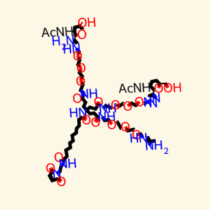 CC(=O)N[C@@H]1C[C@@H](O)CO[C@H]1/C(N)=C/NCOCCOCCOCCNC(=O)CCC(CCC(=O)NCCOCCOCCOCN/C=C(/C)N)(CCC(=O)NCCOCCOCCOCn1cc([C@@H]2O[C@H](CO)CC[C@H]2NC(C)=O)nn1)NC(=O)CCCCCCCCCCC(=O)NCCN1C(=O)C=CC1=O